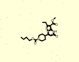 CCCCOC(=O)N1CCC(c2cc(=O)[nH]c3c(C(=O)OC)c(CC)nn23)CC1